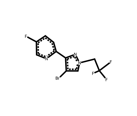 Fc1ccc(-c2nn(CC(F)(F)F)cc2Br)nc1